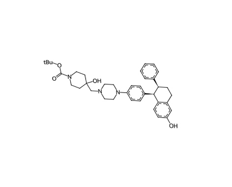 CC(C)(C)OC(=O)N1CCC(O)(CN2CCN(c3ccc([C@@H]4c5ccc(O)cc5CC[C@@H]4c4ccccc4)cc3)CC2)CC1